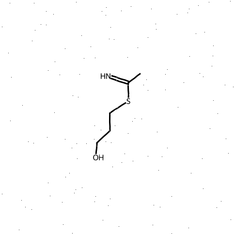 CC(=N)SCCCO